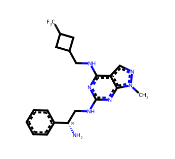 Cn1ncc2c(NCC3CC(C(F)(F)F)C3)nc(NC[C@H](N)c3ccccc3)nc21